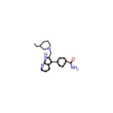 CCC1CCCN(Cc2[nH]c3ncccc3c2-c2ccc(C(N)=O)cc2)C1